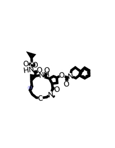 CN1CCCC/C=C/C2CC2(C(=O)NS(=O)(=O)C2CC2)NC(=O)C2CC(OC(=O)N3CCc4ccccc4C3)CC2C1=O